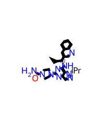 CC(C)n1ncc2nc(N3CCN(C(N)=O)CC3)nc(N[C@@H](c3cnc4ccccc4c3)C3CC3)c21